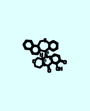 O=C1c2c(O)c(=O)ccn2N([C@@H]2c3ccccc3SCc3c2ccc2ccccc32)[C@@H]2COCCN12